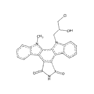 Cn1c2ccccc2c2c3c(c4c5ccccc5n(CC(O)CCl)c4c21)C(=O)NC3=O